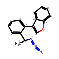 CC(N=[N+]=[N-])c1ccccc1-c1coc2ccccc12